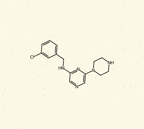 Clc1cccc(CNc2cncc(N3CCNCC3)n2)c1